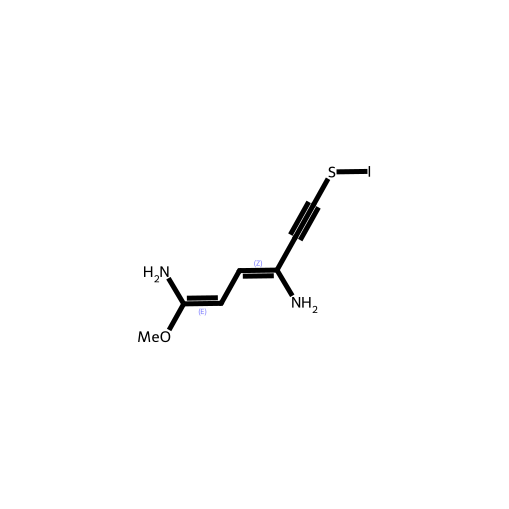 CO/C(N)=C/C=C(\N)C#CSI